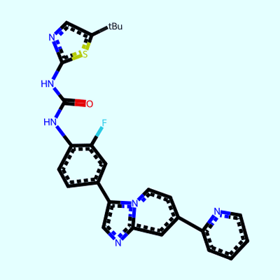 CC(C)(C)c1cnc(NC(=O)Nc2ccc(-c3cnc4cc(-c5ccccn5)ccn34)cc2F)s1